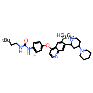 COc1cc2c(Oc3ccc(NC(=O)NCCC(C)(C)C)c(F)c3)ccnc2cc1C1CC(N2CCCCC2)CCN1C(=O)O